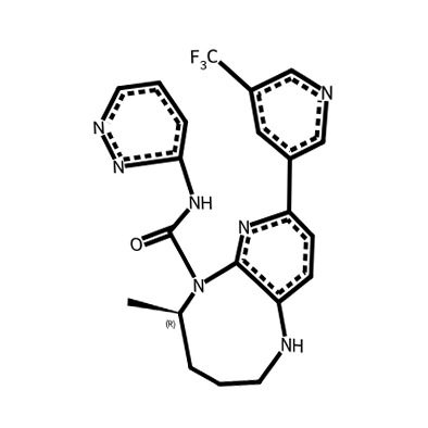 C[C@@H]1CCCNc2ccc(-c3cncc(C(F)(F)F)c3)nc2N1C(=O)Nc1cccnn1